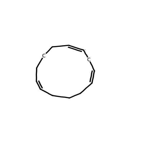 [C]1=CCCCC=CCCCC=CC1